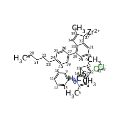 CC1=C2c3cc(C)n(-c4ccccc4)c3C1[Si]2(C)C.CCCCCc1ccc(-c2cccc3c2C=C(C)[CH]3[Zr+2])cc1.[Cl-].[Cl-]